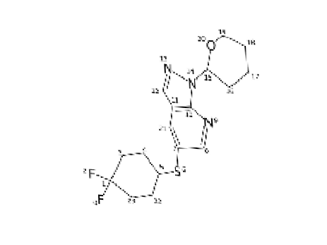 FC1(F)CCC(Sc2cnc3c(cnn3C3CCCCO3)c2)CC1